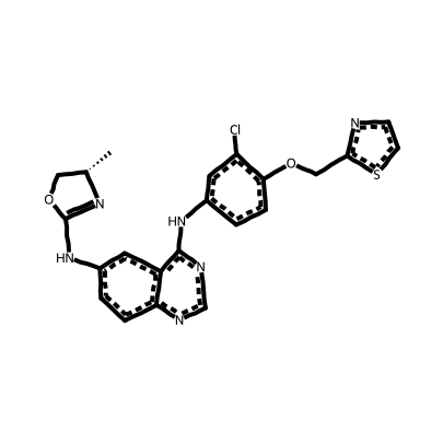 C[C@H]1COC(Nc2ccc3ncnc(Nc4ccc(OCc5nccs5)c(Cl)c4)c3c2)=N1